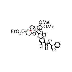 CCOC(=O)C1CCC(OC(C(=O)Cc2cc(Cl)c(NC(=O)c3coc4ccccc34)cc2Cl)(N2CCCC2)N2C[C@H](OC)[C@@H](OC)C2)CC1